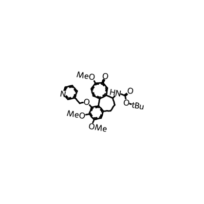 COc1cc2c(c(OCc3cccnc3)c1OC)-c1ccc(OC)c(=O)cc1C(NC(=O)OC(C)(C)C)CC2